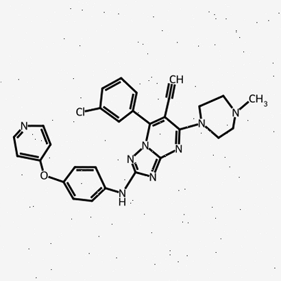 C#Cc1c(N2CCN(C)CC2)nc2nc(Nc3ccc(Oc4ccncc4)cc3)nn2c1-c1cccc(Cl)c1